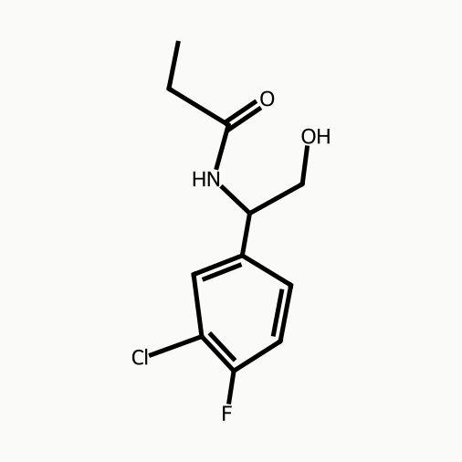 CCC(=O)NC(CO)c1ccc(F)c(Cl)c1